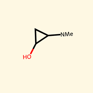 CNC1CC1O